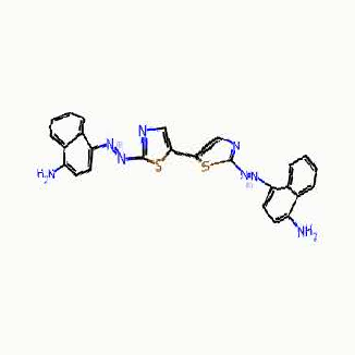 Nc1ccc(/N=N/c2ncc(-c3cnc(/N=N/c4ccc(N)c5ccccc45)s3)s2)c2ccccc12